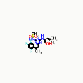 CC(C)C[C@H](CO)Nc1nc(CC(C)c2cc(F)c(F)cc2F)nc(NS(C)(=O)=O)n1